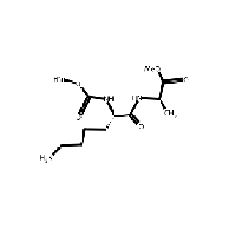 COC(=O)[C@@H](C)NC(=O)[C@H](CCCCN)NC(=O)OC(C)(C)C